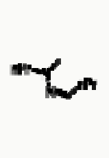 CCC/C=N\N(C)CCC